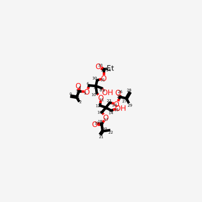 C=C(C)C(=O)OCC(CO)(COCC(CO)(COC(=O)C(=C)C)COC(=O)C(=C)C)COC(=O)CC